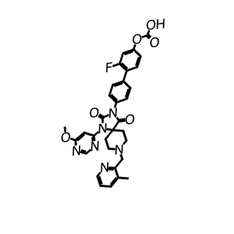 COc1cc(N2C(=O)N(c3ccc(-c4ccc(OC(=O)O)cc4F)cc3)C(=O)C23CCN(Cc2ncccc2C)CC3)ncn1